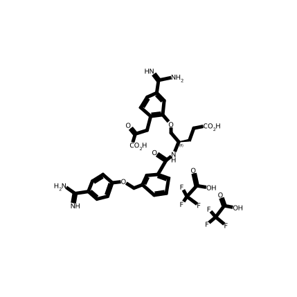 N=C(N)c1ccc(OCc2cccc(C(=O)N[C@H](CCC(=O)O)COc3cc(C(=N)N)ccc3CC(=O)C(=O)O)c2)cc1.O=C(O)C(F)(F)F.O=C(O)C(F)(F)F